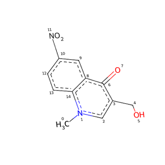 Cn1cc(CO)c(=O)c2cc([N+](=O)[O-])ccc21